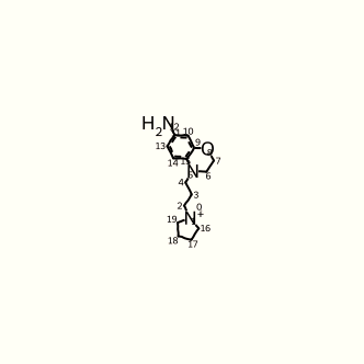 C[N+]1(CCCN2CCOc3cc(N)ccc32)CCCC1